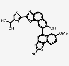 COc1ccc2c(c1)c(-c1cc3c(ccc4nc(C5=NC(C(O)O)CS5)sc43)cc1O)cc1nc(C#N)sc12